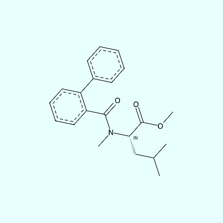 COC(=O)[C@H](CC(C)C)N(C)C(=O)c1ccccc1-c1ccccc1